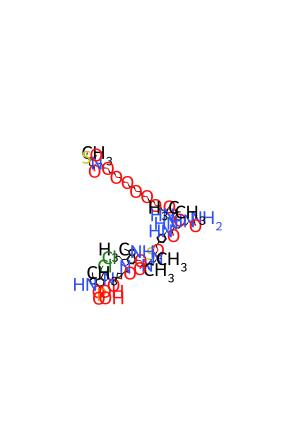 CSC1CC(=O)N(CCOCCOCCOCCOCCOCCOCCC(=O)N[C@H](C(=O)N[C@@H](CCCNC(N)=O)C(=O)Nc2ccc(COC(=S)N(C)CCN(C)C(=O)Oc3cc4c(c5c(C)c[nH]c35)[C@H](CCl)CN4C(=O)C34CC(C(=O)N5C[C@@H](CCl)c6c5cc(OP(=O)(O)O)c5[nH]cc(C)c65)(C3)C4)cc2)C(C)C)C1=O